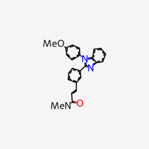 CNC(=O)/C=C/c1cccc(-c2nc3ccccc3n2-c2ccc(OC)cc2)c1